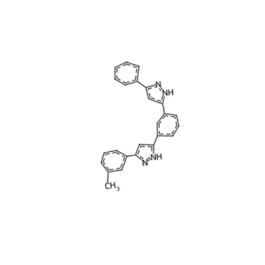 Cc1cccc(-c2cc(-c3cccc(-c4cc(-c5ccccc5)n[nH]4)c3)[nH]n2)c1